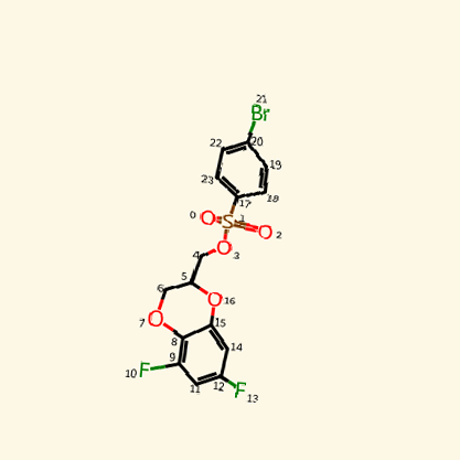 O=S(=O)(OCC1COc2c(F)cc(F)cc2O1)c1ccc(Br)cc1